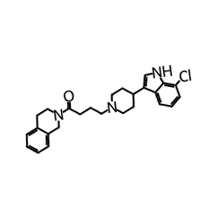 O=C(CCCN1CCC(c2c[nH]c3c(Cl)cccc23)CC1)N1CCc2ccccc2C1